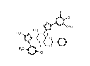 COc1cc(-c2cn([C@@H]3[C@@H](O)[C@H](c4nc(C)nn4-c4cc(Cl)ccc4C(F)(F)F)O[C@@H]4COC(c5ccccc5)O[C@H]34)nn2)cc(F)c1Cl